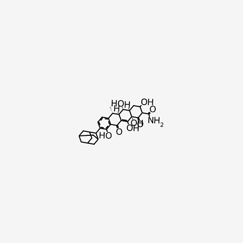 C[C@H]1c2ccc(C3C4CC5CC(C4)CC3C5)c(O)c2C(=O)C2=C(O)[C@]3(O)C(=O)C(C(N)=O)C(O)C[C@@H]3[C@@H](O)[C@@H]21